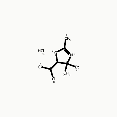 CCC1(C)N=C(C(F)(F)F)OC1C(Cl)Cl.Cl